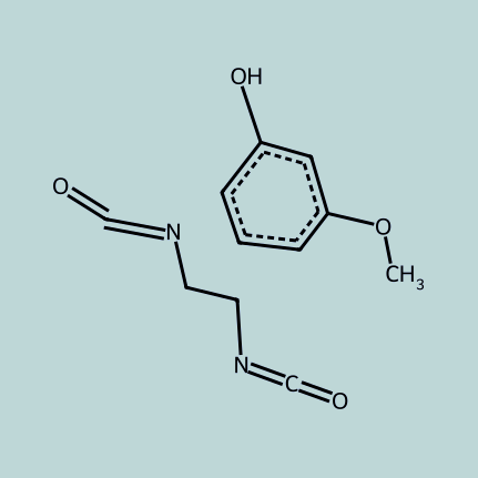 COc1cccc(O)c1.O=C=NCCN=C=O